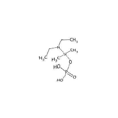 CCN(CC)[Si](C)(C)OP(=O)(O)O